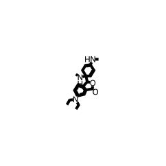 CCN(CC)c1ccc2c(c1)C(=O)OC2C1(NC)C=CC(NC)=CC1